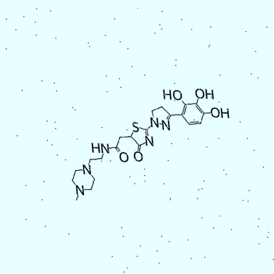 CN1CCN(CCNC(=O)CC2SC(N3CCC(c4ccc(O)c(O)c4O)=N3)=NC2=O)CC1